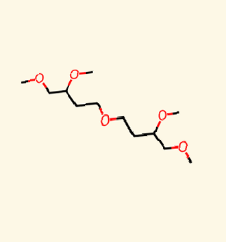 COCC(CCOCCC(COC)OC)OC